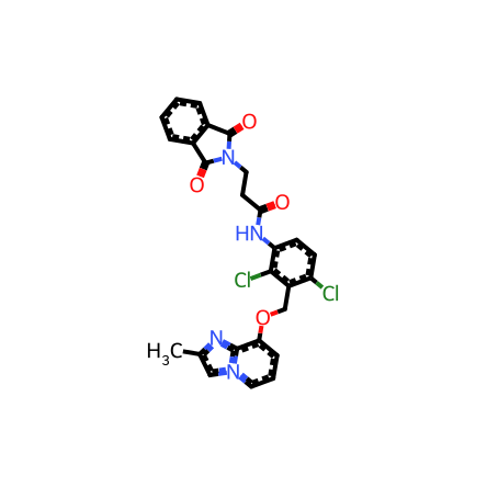 Cc1cn2cccc(OCc3c(Cl)ccc(NC(=O)CCN4C(=O)c5ccccc5C4=O)c3Cl)c2n1